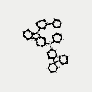 c1ccc(-c2cccc(-n3c4ccccc4c4ccc(N(c5ccccc5)c5ccc(C6(c7ccccc7)CCCCC6)cc5)cc43)c2)cc1